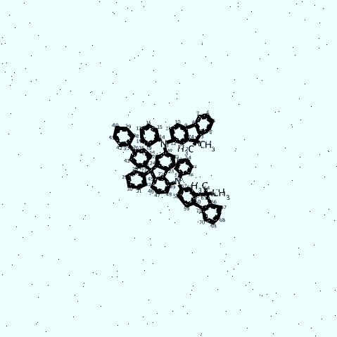 CC1(C)c2ccccc2-c2ccc(N(c3ccccc3)c3ccc4c(c3)C(c3ccccc3)(c3ccc(-c5ccccc5)cc3)c3cccc(N(c5ccccc5)c5ccc6c(c5)C(C)(C)c5ccccc5-6)c3-4)cc21